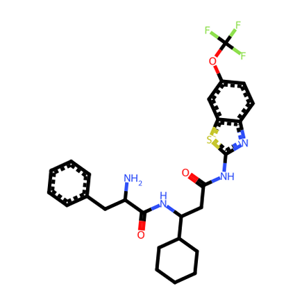 NC(Cc1ccccc1)C(=O)NC(CC(=O)Nc1nc2ccc(OC(F)(F)F)cc2s1)C1CCCCC1